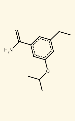 C=C(N)c1cc(CC)cc(OC(C)C)c1